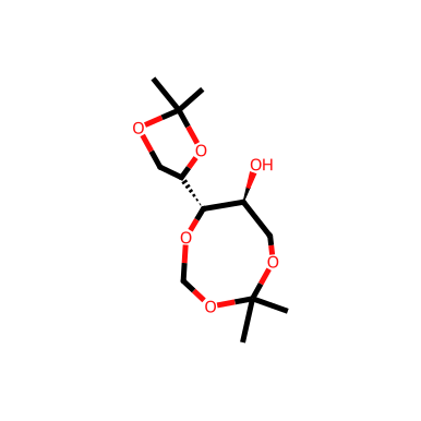 CC1(C)OCO[C@H](C2COC(C)(C)O2)[C@@H](O)CO1